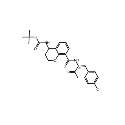 CC(=O)[C@H](Cc1ccc(Cl)cc1)NC(=O)c1cccc2c1OCCC2NC(=O)OC(C)(C)C